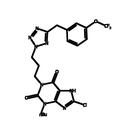 CCCCn1c(=O)n(CCCn2nnc(Cc3cccc(OC(F)(F)F)c3)n2)c(=O)c2[nH]c(Cl)nc21